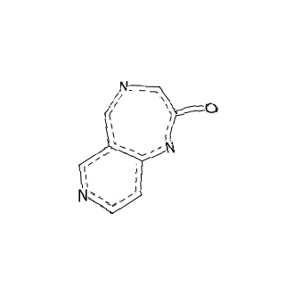 O=c1cncc2cnccc2n1